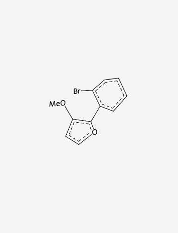 COc1ccoc1-c1ccccc1Br